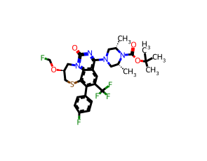 C[C@@H]1CN(c2nc(=O)n3c4c(c(-c5ccc(F)cc5)c(C(F)(F)F)cc24)SC[C@@H](OCF)C3)C[C@H](C)N1C(=O)OC(C)(C)C